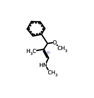 CN/C=C(\C)C(OC)c1ccccc1